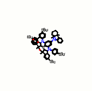 CC(C)(C)c1ccc(N2C3=C(B4C5=C(c6cc(C(C)(C)C)ccc6C5(C)C)N(c5ccc(C(C)(C)C)cc5-c5ccccc5)c5cc(N6c7ccccc7C7(C)CCCCC67C)cc2c54)C(C)(C)c2ccc(C(C)(C)C)cc23)cc1